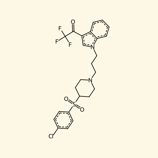 O=C(c1cn(CCCN2CCC(S(=O)(=O)c3ccc(Cl)cc3)CC2)c2ccccc12)C(F)(F)F